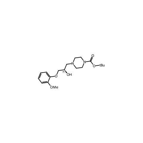 COc1ccccc1OC[C@H](O)CN1CCN(C(=O)OC(C)(C)C)CC1